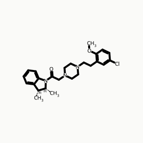 COc1ccc(Cl)cc1CCN1CCN(CC(=O)N2c3ccccc3[C@@H](C)[C@H]2C)CC1